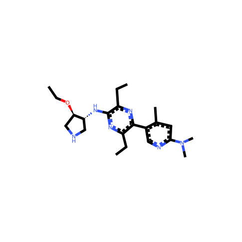 CCO[C@@H]1CNC[C@H]1Nc1nc(CC)c(-c2cnc(N(C)C)cc2C)nc1CC